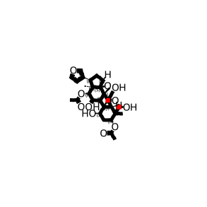 CC(=O)O[C@@H]1C[C@H](O)[C@@]23CO[C@@H](O)C1(C)[C@@H]2CC(O)[C@]1(C)[C@@H]3C(=O)[C@H](OC(C)=O)[C@@]2(C)[C@H](c3ccoc3)C[C@H]3O[C@]321